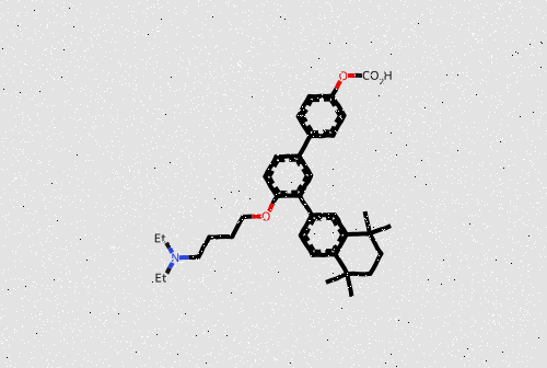 CCN(CC)CCCCOc1ccc(-c2ccc(OC(=O)O)cc2)cc1-c1ccc2c(c1)C(C)(C)CCC2(C)C